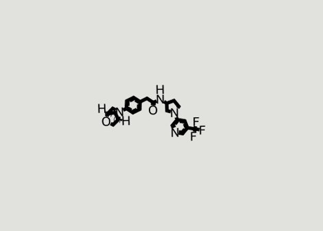 O=C(Cc1ccc(N2C[C@@H]3C[C@H]2CO3)cc1)NC1CCN(c2cncc(C(F)(F)F)c2)C1